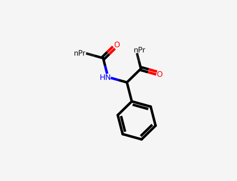 CCCC(=O)NC(C(=O)CCC)c1ccccc1